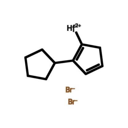 [Br-].[Br-].[Hf+2][C]1=C(C2CCCC2)C=CC1